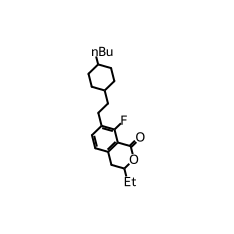 CCCCC1CCC(CCc2ccc3c(c2F)C(=O)OC(CC)C3)CC1